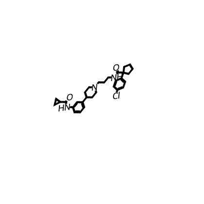 O=C(Nc1cccc(C2CCN(CCCNC(=O)C3(c4ccc(Cl)cc4)CCCC3)CC2)c1)C1CC1